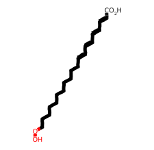 O=C(O)C=CC=CC=CC=CCCCCCCCCCCCOO